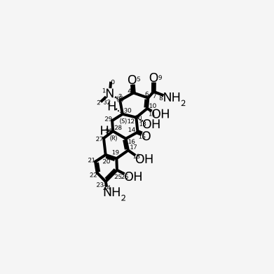 CN(C)[C@@H]1C(=O)C(C(N)=O)=C(O)[C@@]2(O)C(=O)C3=C(O)c4c(ccc(N)c4O)C[C@H]3C[C@@H]12